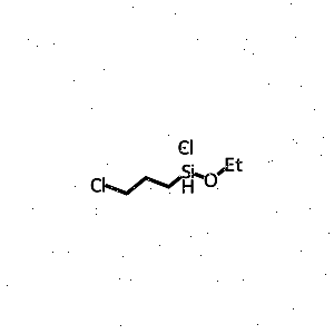 CCO[SiH](Cl)CCCCl